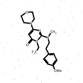 COc1ccc(CCN(C)c2nc(N3CCOCC3)cc(=O)n2CC(F)(F)F)cc1